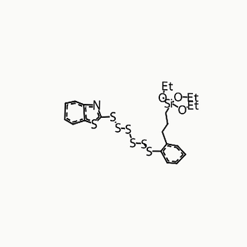 CCO[Si](CCCc1ccccc1SSSSSSc1nc2ccccc2s1)(OCC)OCC